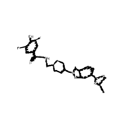 Cc1cnc(-c2ccc3cn(C4CCC(CNC(=O)c5cc(F)c(O)c(F)c5)CC4)nc3c2)s1